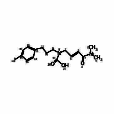 CN(C)C(=O)C=CCN(CCCc1ccc(I)cc1)C(=O)O